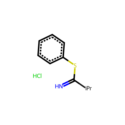 CC(C)C(=N)Sc1ccccc1.Cl